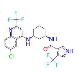 O=C(N[C@@H]1CCC[C@H](Nc2cc(C(F)(F)F)nc3ccc(Cl)cc23)C1)c1c[nH]cc1C(F)(F)F